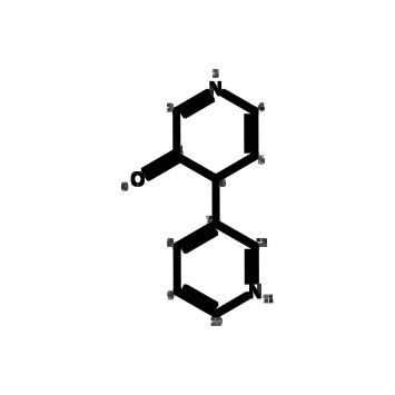 O=C1C=NC=CC1c1cccnc1